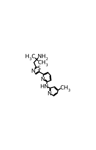 Cc1ccnc(Nc2cccc(-c3cnc(CC(C)(C)N)s3)n2)c1